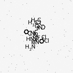 CCC(CC)C1CCCCN1C(=O)CCC(=O)N1Cc2ccccc2C[C@H]1C(=O)N[C@@H](CCN)C(=O)Nc1ccc(Cl)c(Cl)c1F